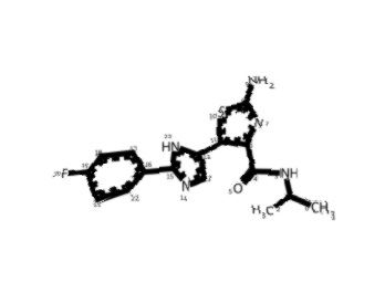 CC(C)NC(=O)c1nc(N)sc1-c1cnc(-c2ccc(F)cc2)[nH]1